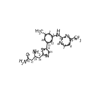 Cc1cc(Nc2nccc(C(F)(F)F)n2)cc(-c2cnc(CC(N)CC(N)=O)s2)c1